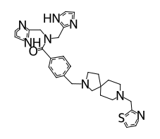 O=C(c1ccc(CN2CCC3(CCN(Cc4nccs4)CC3)C2)cc1)N(Cc1ncc[nH]1)Cc1ncc[nH]1